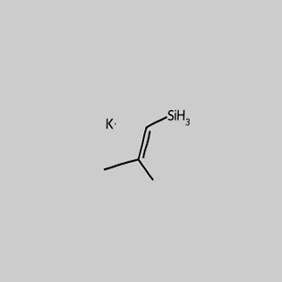 CC(C)=C[SiH3].[K]